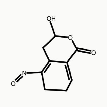 O=NC1=C2CC(O)OC(=O)C2=CCC1